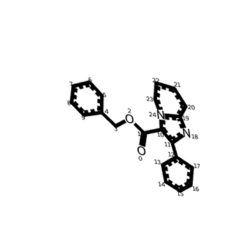 O=C(OCc1ccccc1)c1c(-c2ccccc2)nc2ccccn12